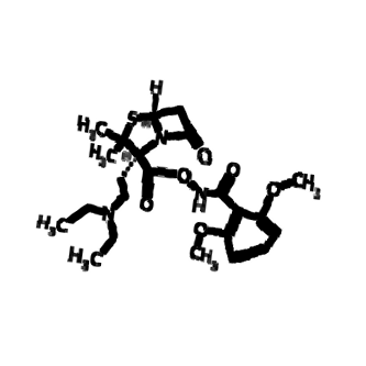 CCN(CC)CC[C@@]1(C(=O)ONC(=O)c2c(OC)cccc2OC)N2C(=O)C[C@H]2SC1(C)C